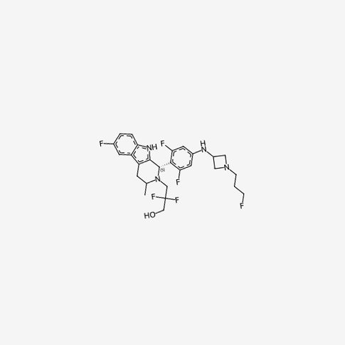 CC1Cc2c([nH]c3ccc(F)cc23)[C@H](c2c(F)cc(NC3CN(CCCF)C3)cc2F)N1CC(F)(F)CO